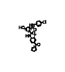 O=C(Nc1ccc(C(=O)N2CCCC2)cc1F)[C@H]1C[C@@H](O)CN1C(=O)Nc1ccc(Cl)cc1